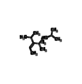 CC(C)O.CC=C(C(C)C)C(C)C